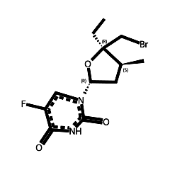 CC[C@@]1(CBr)O[C@@H](n2cc(F)c(=O)[nH]c2=O)C[C@@H]1C